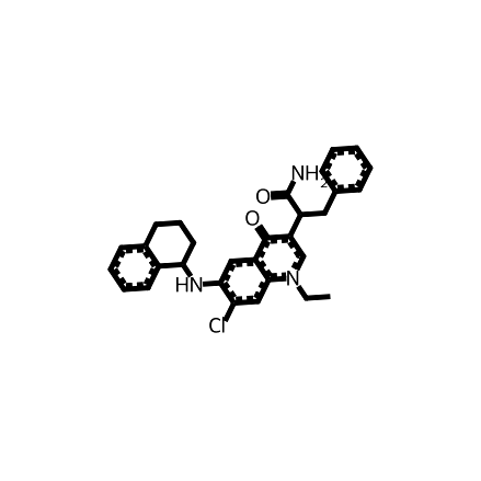 CCn1cc(C(Cc2ccccc2)C(N)=O)c(=O)c2cc(NC3CCCc4ccccc43)c(Cl)cc21